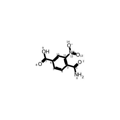 NC(=O)c1ccc(C(=O)O)cc1[N+](=O)[O-]